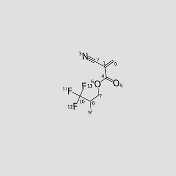 C=C(C#N)C(=O)OCC(C)C(F)(F)F